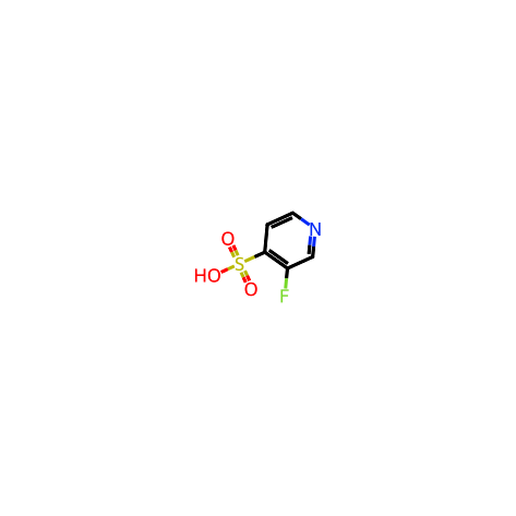 O=S(=O)(O)c1ccncc1F